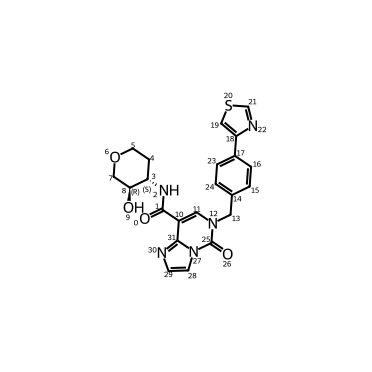 O=C(N[C@H]1CCOC[C@@H]1O)c1cn(Cc2ccc(-c3cscn3)cc2)c(=O)n2ccnc12